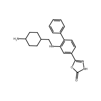 NC1CCC(CNc2cc(-c3n[nH]c(=O)o3)ccc2-c2ccccc2)CC1